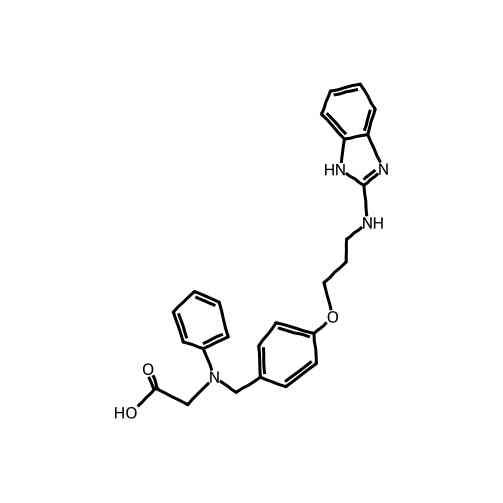 O=C(O)CN(Cc1ccc(OCCCNc2nc3ccccc3[nH]2)cc1)c1ccccc1